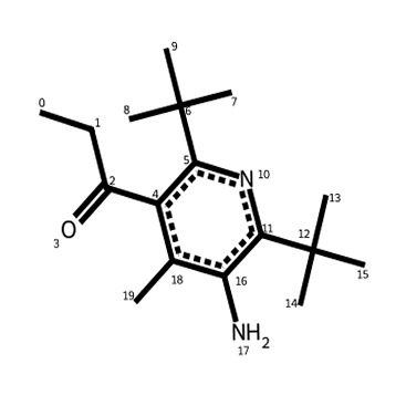 CCC(=O)c1c(C(C)(C)C)nc(C(C)(C)C)c(N)c1C